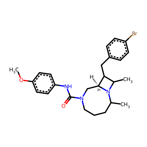 COc1ccc(NC(=O)N2CCCC(C)N3C(C)C(Cc4ccc(Br)cc4)[C@@H]3C2)cc1